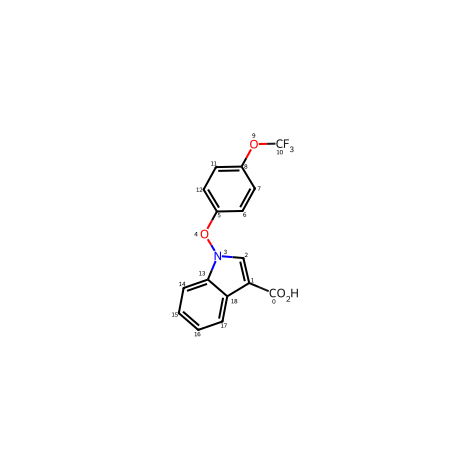 O=C(O)c1cn(Oc2ccc(OC(F)(F)F)cc2)c2ccccc12